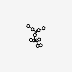 c1ccc(-c2ccc(N(c3ccc(-c4ccccc4)cc3)c3ccc(-c4c5ccccc5cc5c(-c6cccc7ccccc67)c6ccccc6n45)cc3)cc2)cc1